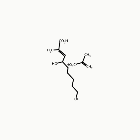 C=C(C)C(=O)O.CC(=CC(O)CCCCCO)C(=O)O